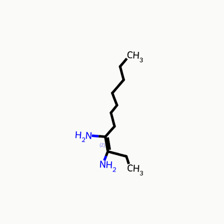 CCCCCCC/C(N)=C(/N)CC